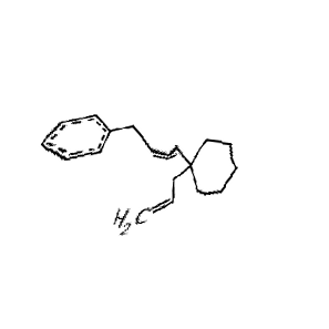 C=CCC1(C=CCc2ccccc2)CCCCC1